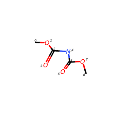 COC(=O)[N]C(=O)OC